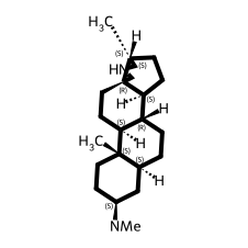 CN[C@H]1CC[C@@]2(C)[C@@H](CC[C@@H]3[C@@H]2CC[C@]24CN[C@@H](C)[C@H]2CC[C@@H]34)C1